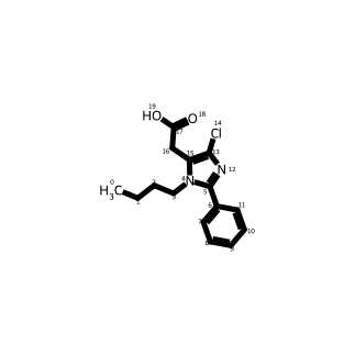 CCCCn1c(-c2ccccc2)nc(Cl)c1CC(=O)O